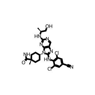 C[C@@H](CO)Nc1ncc2nc(Nc3c(Cl)cc(C#N)cc3Cl)n([C@H]3CC[C@@](C)(C(N)=O)CC3)c2n1